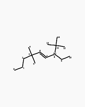 CCCC(C)(C)/C=C/N(CC)C(C)(C)C